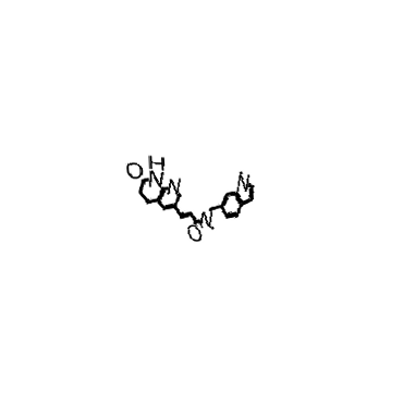 CN(Cc1ccc2ccn(C)c2c1)C(=O)/C=C/c1cnc2c(c1)CCC(=O)N2